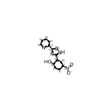 O=[N+]([O-])c1ccc(O)c(-c2nc(-c3ccccn3)n[nH]2)c1